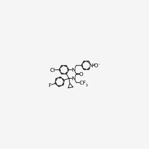 O=C1N(Cc2cc[n+]([O-])cc2)c2ccc(Cl)cc2C(c2ccc(F)cc2)(C2CC2)N1CC(F)(F)F